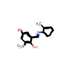 Cc1ccccc1/N=C/c1cc(Br)cc([N+](=O)[O-])c1O